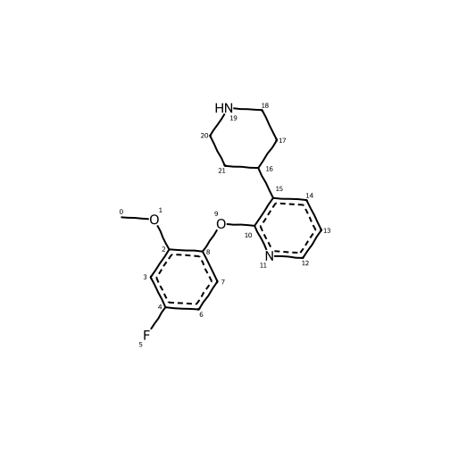 COc1cc(F)ccc1Oc1ncccc1C1CCNCC1